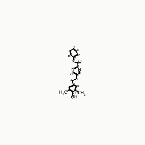 Cc1cc(CCc2cnc(C(=O)Sc3ccccc3)nc2)cc(C)c1O